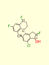 N#Cc1cc(F)cc2c1[C@@H](c1ccc(Cl)c3c1C[C@@H](F)[C@H]3O)CC[C@@H]2F